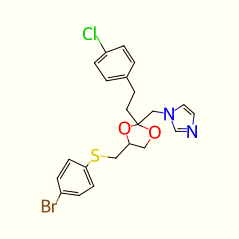 Clc1ccc(CCC2(Cn3ccnc3)OCC(CSc3ccc(Br)cc3)O2)cc1